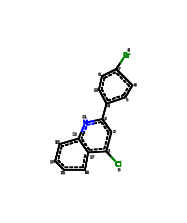 Clc1cc(-c2ccc(Br)cc2)nc2ccccc12